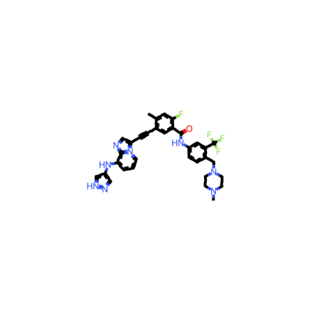 Cc1cc(F)c(C(=O)Nc2ccc(CN3CCN(C)CC3)c(C(F)(F)F)c2)cc1C#Cc1cnc2c(Nc3cn[nH]c3)cccn12